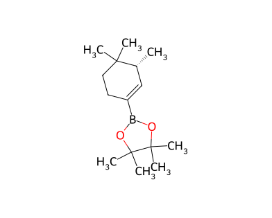 C[C@@H]1C=C(B2OC(C)(C)C(C)(C)O2)CCC1(C)C